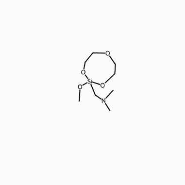 CO[Si]1(CN(C)C)OCCOCCO1